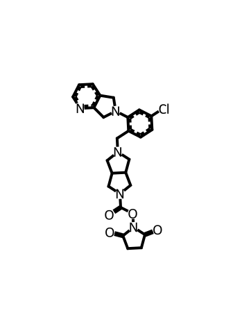 O=C(ON1C(=O)CCC1=O)N1CC2CN(Cc3ccc(Cl)cc3N3Cc4cccnc4C3)CC2C1